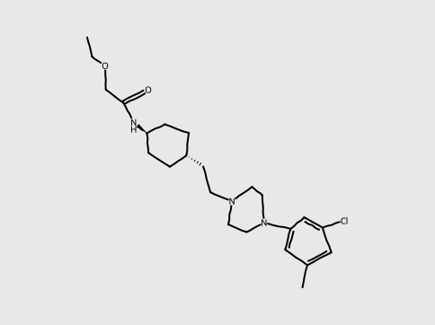 CCOCC(=O)N[C@H]1CC[C@H](CCN2CCN(c3cc(C)cc(Cl)c3)CC2)CC1